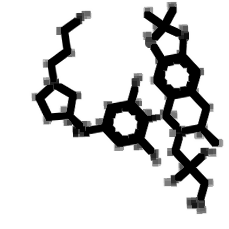 C[C@@H]1Cc2cc3c(cc2[C@@H](c2c(F)cc(N[C@H]4CCN(CCCF)C4)cc2F)N1CC(F)(F)CO)OC(C)(C)O3